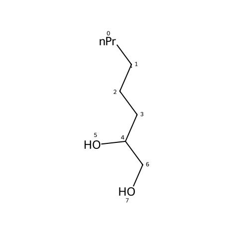 CCC[CH]CCC(O)CO